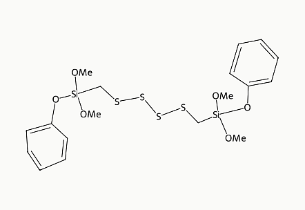 CO[Si](CSSSSC[Si](OC)(OC)Oc1ccccc1)(OC)Oc1ccccc1